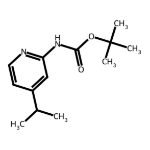 CC(C)c1ccnc(NC(=O)OC(C)(C)C)c1